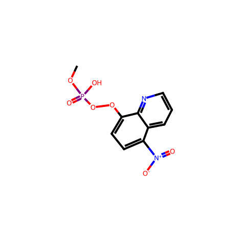 COP(=O)(O)OOc1ccc([N+](=O)[O-])c2cccnc12